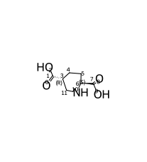 O=C(O)[C@@H]1CC[C@@H](C(=O)O)NC1